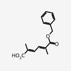 CC(=CC=C(C)C(=O)OCc1ccccc1)C(=O)O